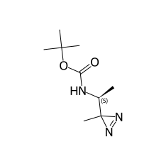 C[C@H](NC(=O)OC(C)(C)C)C1(C)N=N1